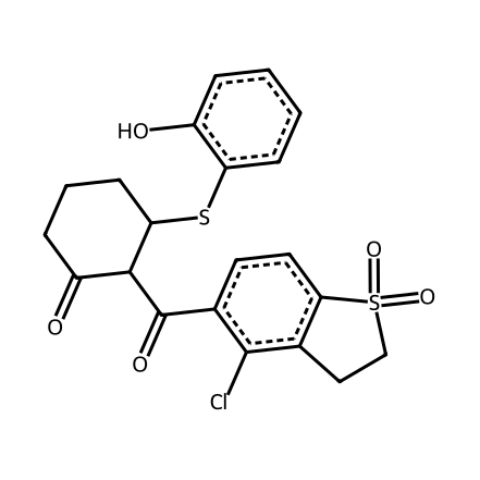 O=C1CCCC(Sc2ccccc2O)C1C(=O)c1ccc2c(c1Cl)CCS2(=O)=O